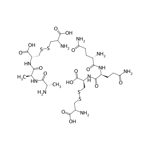 C[C@H](N)C(=O)N[C@@H](C)C(=O)N[C@@H](CSSCC(N)C(=O)O)C(=O)O.NC(=O)CC[C@H](NC(=O)[C@@H](N)CCC(N)=O)C(=O)N[C@@H](CSSCC(N)C(=O)O)C(=O)O